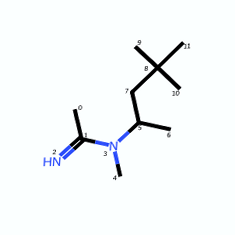 CC(=N)N(C)C(C)CC(C)(C)C